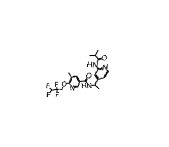 Cc1cc(C(=O)NC(C)c2ccnc(NC(=O)C(C)C)c2)cnc1OCC(F)(F)C(F)F